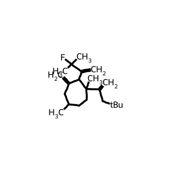 C=C1CC(C)CCC(C)(C(=C)CC(C)(C)C)C1C(=C)C(C)(C)F